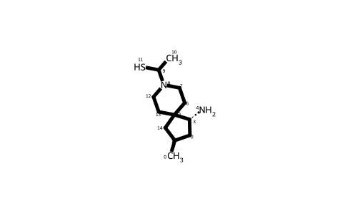 CC1C[C@@H](N)C2(CCN(C(C)S)CC2)C1